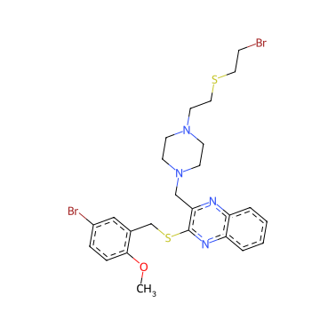 COc1ccc(Br)cc1CSc1nc2ccccc2nc1CN1CCN(CCSCCBr)CC1